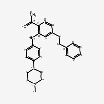 CN1CCN(c2ccc(Nc3cc(CCc4ccccc4)cnc3C(N)=O)cc2)CC1